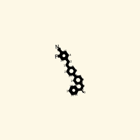 C[C@H](CC1CCC(C2CCC(CCc3ccc(C#N)c(F)c3)CC2)CC1)c1ccccc1